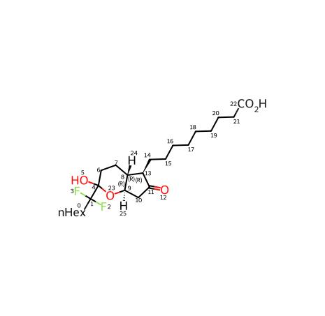 CCCCCCC(F)(F)C1(O)CC[C@H]2[C@@H](CC(=O)[C@@H]2CCCCCCCCC(=O)O)O1